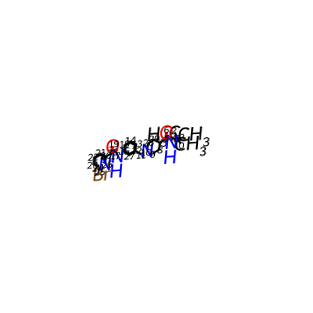 CC(C)(C)NC(=O)C1CCN(Cc2cccc(NC(=O)c3cccc(Br)n3)c2)CC1